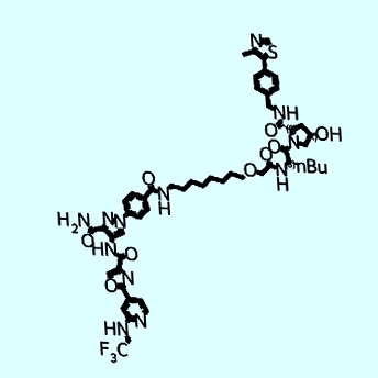 CCCC[C@H](NC(=O)COCCCCCCCCNC(=O)c1ccc(-n2cc(NC(=O)c3coc(-c4ccnc(NCC(F)(F)F)c4)n3)c(C(N)=O)n2)cc1)C(=O)N1C[C@H](O)C[C@H]1C(=O)NCc1ccc(-c2scnc2C)cc1